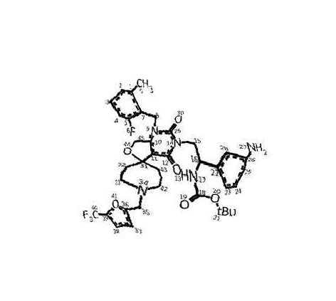 Cc1cccc(F)c1Cn1c2c(c(=O)n(CC(NC(=O)OC(C)(C)C)c3cccc(N)c3)c1=O)C1(CCN(Cc3ccc(C(F)(F)F)o3)CC1)OC2